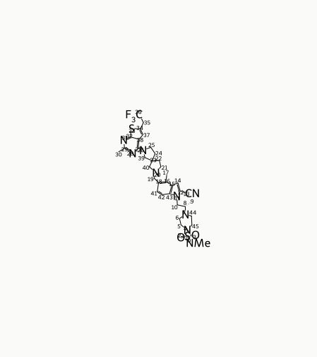 CNS(=O)(=O)N1CCN([C@@H](C)Cn2c(C#N)cc3c(C)c(CN4CCC5(CCN(c6nc(C)nc7sc(CC(F)(F)F)cc67)C5)C4)ccc32)CC1